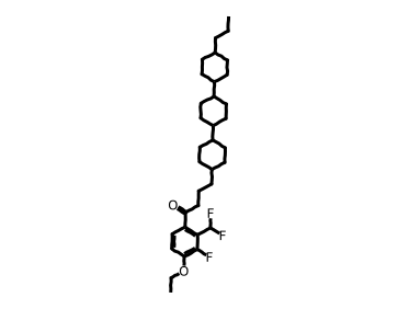 CCCC1CCC(C2CCC(C3CCC(CCCC(=O)c4ccc(OCC)c(F)c4C(F)F)CC3)CC2)CC1